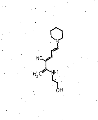 C=C(NCCO)/C(C#N)=C/C=C/N1CCCCC1